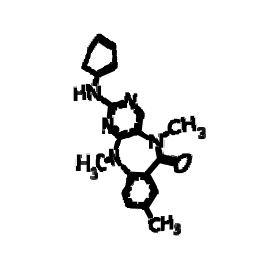 Cc1ccc2c(c1)C(=O)N(C)c1cnc(NC3=CC=CCC3)nc1N2C